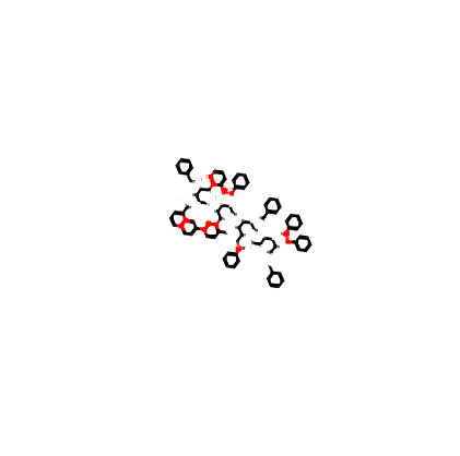 O=C(OC1C(OC2C(COCc3ccccc3)OC(OC3C(OCc4ccccc4)C(CO)OC(OC4C(COCc5ccccc5)OC(OCc5ccccc5)C(OC(=O)c5ccccc5)C4OC(=O)c4ccccc4)C3OC(=O)c3ccccc3)C(OC(=O)c3ccccc3)C2OC(=O)c2ccccc2)OC(CO)C(OCc2ccccc2)C1O)c1ccccc1